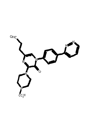 O=CCCc1cn(-c2ccc(-c3cccnn3)cc2)c(=O)c(N2CCN(C(=O)O)CC2)n1